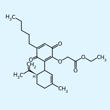 C=C(C)[C@@H]1CCC(C)=CC1C1=C(OCC(=O)OCC)C(=O)C=C(CCCCC)C1=O